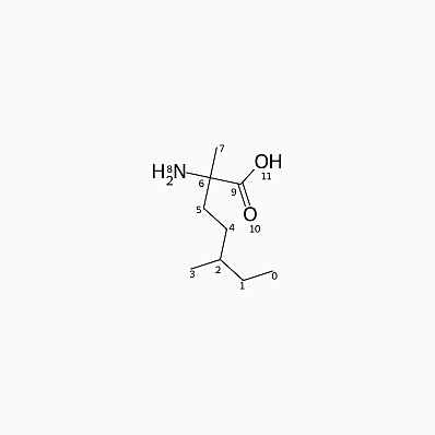 CCC(C)CCC(C)(N)C(=O)O